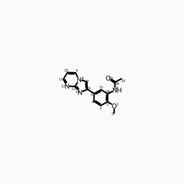 COc1ccc(-c2cn3cccnc3n2)cc1NC(C)=O